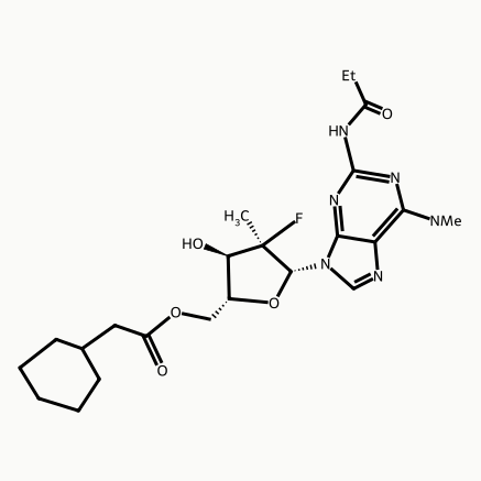 CCC(=O)Nc1nc(NC)c2ncn([C@@H]3O[C@H](COC(=O)CC4CCCCC4)[C@@H](O)[C@@]3(C)F)c2n1